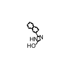 OCc1cnc(-c2ccc3ccccc3c2)[nH]1